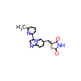 Cc1cccc(-c2cnc3ccc(/C=C4\SC(=O)NC4=O)cn23)n1